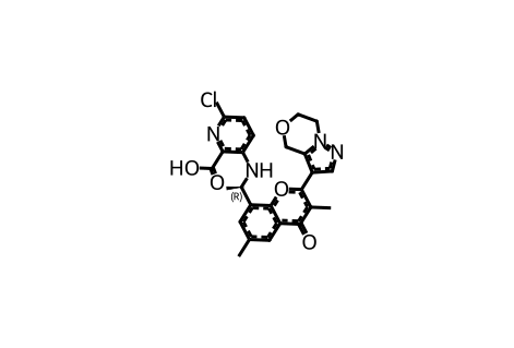 Cc1cc([C@@H](C)Nc2ccc(Cl)nc2C(=O)O)c2oc(-c3cnn4c3COCC4)c(C)c(=O)c2c1